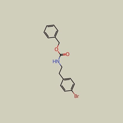 O=C(NCCc1ccc(Br)cc1)OCc1ccccc1